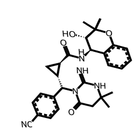 CC1(C)CC(=O)N(C(c2ccc(C#N)cc2)[C@@H]2C[C@H]2C(=O)N[C@@H]2c3ccccc3OC(C)(C)[C@H]2O)C(=N)N1